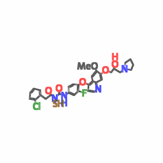 COc1cc2c(Oc3ccc(NC(=O)N(S)C(=O)Cc4ccccc4Cl)cc3F)ccnc2cc1OCC(O)CN1CCCC1